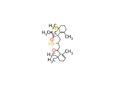 CC1=CCCC(C)(C)C1C(=O)CC(S)CC(C(=O)C(C)S)C1=C(C)CCCC1(C)C